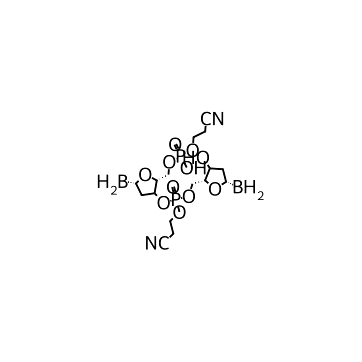 B[C@H]1CC(O)[C@@H](COP(=O)(OCCC#N)OC2C[C@H](B)O[C@@H]2COP(=O)(O)OCCC#N)O1